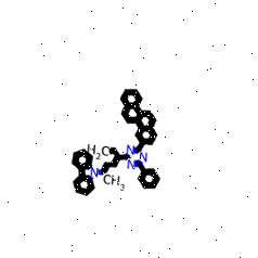 C=C/C(=C\C=C(/C)n1c2ccccc2c2ccccc21)c1nc(-c2ccccc2)nc(-c2ccc3ccc4c5ccccc5ccc4c3c2)n1